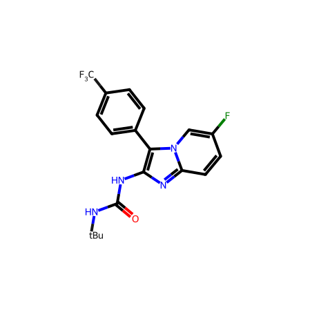 CC(C)(C)NC(=O)Nc1nc2ccc(F)cn2c1-c1ccc(C(F)(F)F)cc1